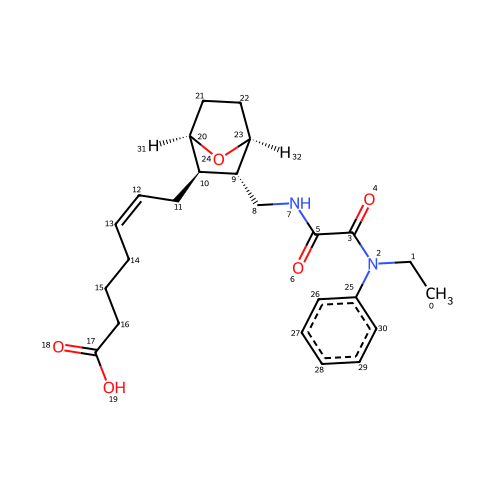 CCN(C(=O)C(=O)NC[C@@H]1[C@@H](C/C=C\CCCC(=O)O)[C@H]2CC[C@@H]1O2)c1ccccc1